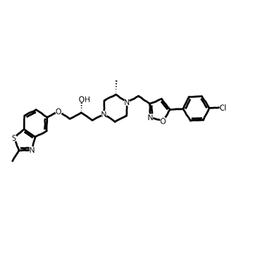 Cc1nc2cc(OC[C@H](O)CN3CCN(Cc4cc(-c5ccc(Cl)cc5)on4)[C@@H](C)C3)ccc2s1